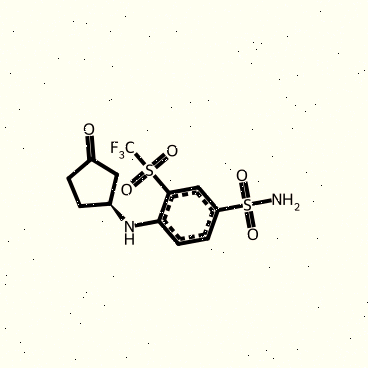 NS(=O)(=O)c1ccc(N[C@H]2CCC(=O)C2)c(S(=O)(=O)C(F)(F)F)c1